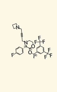 C[C@@H](O[C@H]1OCCN(CC#CCN2CCC2)[C@H]1c1ccc(F)cc1)c1cc(C(F)(F)F)cc(C(F)(F)F)c1